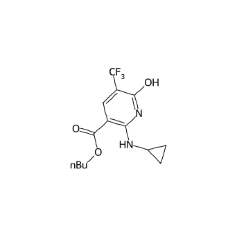 CCCCOC(=O)c1cc(C(F)(F)F)c(O)nc1NC1CC1